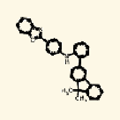 CC1(C)c2ccccc2-c2cc(-c3ccccc3Nc3ccc(-c4nc5ccccc5o4)cc3)ccc21